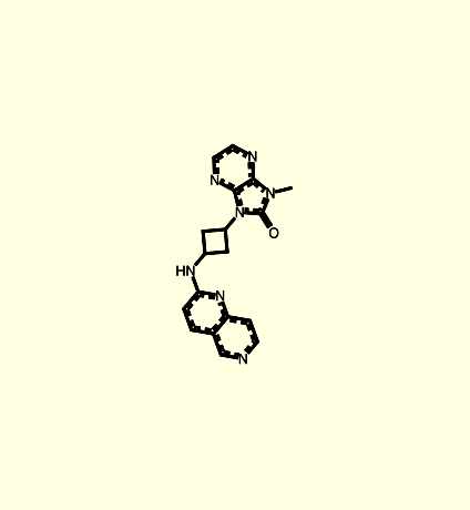 Cn1c(=O)n(C2CC(Nc3ccc4cnccc4n3)C2)c2nccnc21